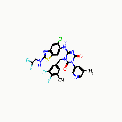 Cc1cncc(-n2c(=O)nc(Nc3cc4sc(NCC(F)F)nc4cc3Cl)n(Cc3cc(F)c(F)c(C#N)c3)c2=O)c1